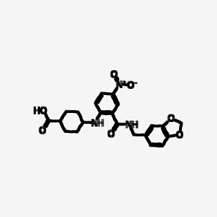 O=C(NCc1ccc2c(c1)OCO2)c1cc([N+](=O)[O-])ccc1NC1CCC(C(=O)O)CC1